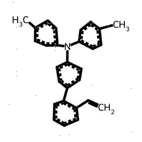 C=Cc1ccccc1-c1ccc(N(c2ccc(C)cc2)c2ccc(C)cc2)cc1